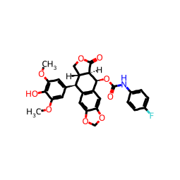 COc1cc([C@@H]2c3cc4c(cc3[C@H](OC(=O)Nc3ccc(F)cc3)[C@@H]3C(=O)OC[C@@H]23)OCO4)cc(OC)c1O